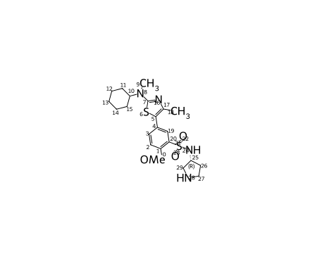 COc1ccc(-c2sc(N(C)C3CCCCC3)nc2C)cc1S(=O)(=O)N[C@@H]1CCNC1